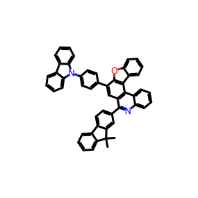 CC1(C)c2ccccc2-c2ccc(-c3nc4ccccc4c4c3cc(-c3ccc(-n5c6ccccc6c6ccccc65)cc3)c3oc5ccccc5c34)cc21